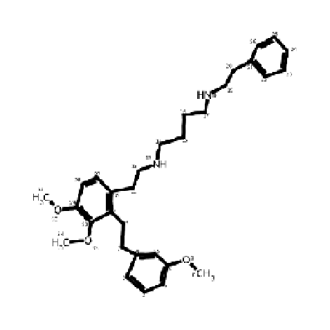 COc1cccc(CCc2c(CCNCCCCNCCc3ccccc3)ccc(OC)c2OC)c1